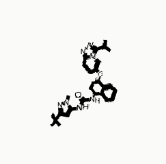 CC(C)c1nnc2ccc(O[C@@H]3CC[C@H](NC(=O)Nc4cc(C(C)(C)C)nn4C)c4ccccc43)cn12